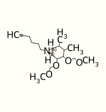 C#CCCCCN1[C@@H]2C(OCOC)C(OCOC)C(C)C(C)[C@@H]21